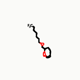 FC(F)(F)CCCCCCOCC1CCCCO1